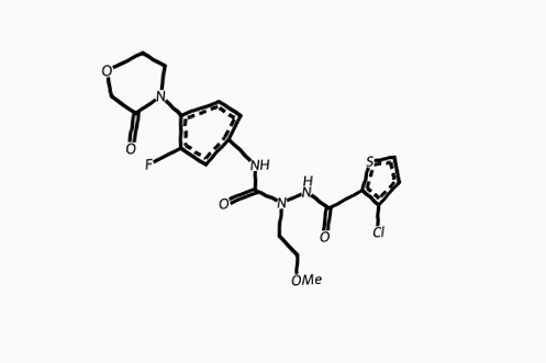 COCCN(NC(=O)c1sccc1Cl)C(=O)Nc1ccc(N2CCOCC2=O)c(F)c1